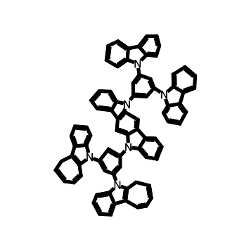 C1=CCc2c(n(-c3cc(-n4c5c(c6ccccc64)C=CC=CC5)cc(-n4c5ccccc5c5cc6c(cc54)c4ccccc4n6-c4cc(-n5c6ccccc6c6ccccc65)cc(-n5c6ccccc6c6ccccc65)c4)c3)c3ccccc23)C=C1